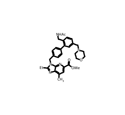 CCc1nc2c(C)cc(C(=O)OC)nc2n1Cc1ccc(-c2cc(CN3CCOCC3)ccc2CNC(C)=O)cc1